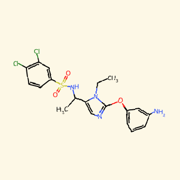 CCn1c(C(C)NS(=O)(=O)c2ccc(Cl)c(Cl)c2)cnc1Oc1cccc(N)c1